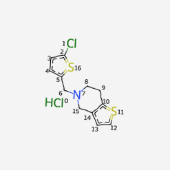 Cl.Clc1ccc(CN2CCc3sccc3C2)s1